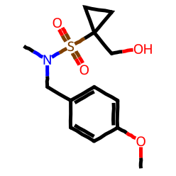 COc1ccc(CN(C)S(=O)(=O)C2(CO)CC2)cc1